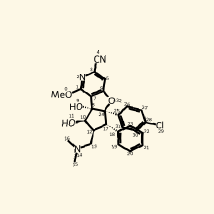 COc1nc(C#N)cc2c1[C@]1(O)[C@H](O)[C@H](CN(C)C)[C@@H](c3ccccc3)[C@]1(c1ccc(Cl)cc1)O2